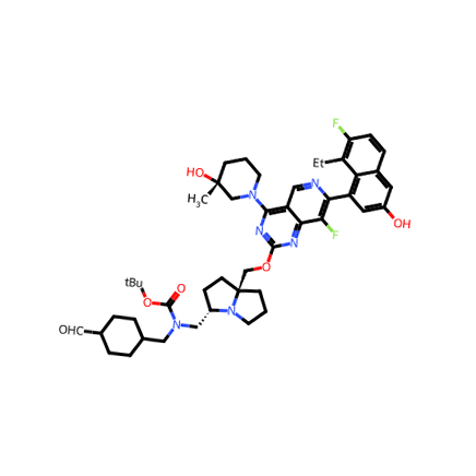 CCc1c(F)ccc2cc(O)cc(-c3ncc4c(N5CCC[C@@](C)(O)C5)nc(OC[C@@]56CCCN5[C@H](CN(CC5CCC(C=O)CC5)C(=O)OC(C)(C)C)CC6)nc4c3F)c12